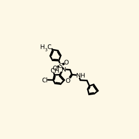 Cc1ccc(S(=O)(=O)N(CC(=O)NCCc2ccccc2)c2cccc(Cl)c2C)cc1